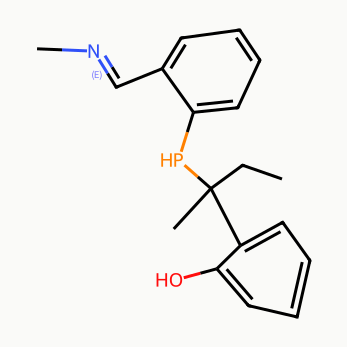 CCC(C)(Pc1ccccc1/C=N/C)c1ccccc1O